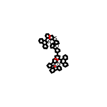 c1ccc(-c2c(N(c3ccc4c(c3)oc3ccc(-c5cccc(-c6c(N(c7cccc8c7oc7ccccc78)c7cccc8c7sc7ccccc78)c7ccccc7c7ccccc67)c5)cc34)c3cccc4sc5ccccc5c34)c3ccccc3c3ccccc23)cc1